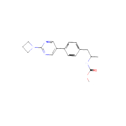 COC(=O)NC(C)Cc1ccc(-c2cnc(N3CCC3)nc2)cc1